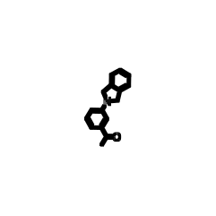 CC(=O)c1cccc(N2Cc3ccccc3C2)c1